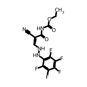 CCOC(=O)NC(=O)C(C#N)=CNNc1c(F)c(F)c(F)c(F)c1F